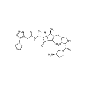 CC(NC(=O)Cn1nnnc1-c1cccs1)[C@H]1C(=O)N2C(C(=O)O)=C(S[C@@H]3CN[C@H](C(=O)N4CC[C@@H](N)C4)C3)[C@H](C)[C@H]12